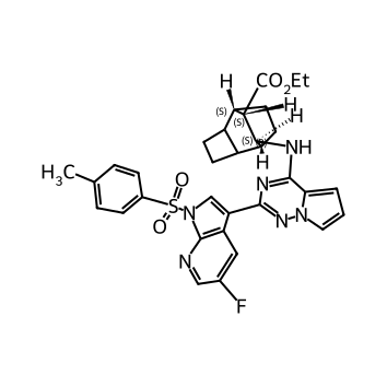 CCOC(=O)[C@@H]1[C@@H](Nc2nc(-c3cn(S(=O)(=O)c4ccc(C)cc4)c4ncc(F)cc34)nn3cccc23)[C@@H]2CC[C@H]1C1CCC12